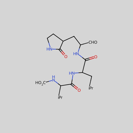 CC(C)CC(NC(=O)C(NC(=O)O)C(C)C)C(=O)NC(C=O)CC1CCNC1=O